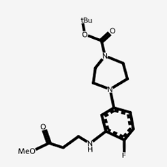 COC(=O)CCNc1cc(N2CCN(C(=O)OC(C)(C)C)CC2)ccc1F